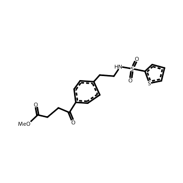 COC(=O)CCC(=O)c1ccc(CCNS(=O)(=O)c2cccs2)cc1